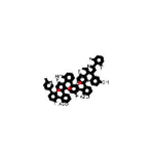 CC(=O)Oc1cccc(-c2ccc(F)c(-c3c(O)cccc3-c3ccc(F)c(-c4c(OC(C)=O)cccc4-c4ccc(F)c(-c5c(-c6cccc(O)c6)[c]c(-c6c(F)cccc6F)nc5C)c4F)c3Cl)c2Cl)c1-c1c(F)ccc(-c2ccc(C)nc2)c1F